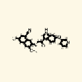 Cc1cc2cc(Cl)cc(C#N)c2cc1OCC(=O)c1c[nH]c2cc(Oc3cccnc3)ccc12